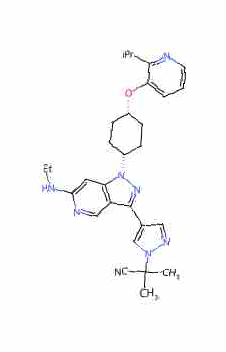 CCNc1cc2c(cn1)c(-c1cnn(C(C)(C)C#N)c1)nn2[C@H]1CC[C@@H](Oc2cccnc2C(C)C)CC1